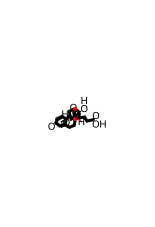 C[C@]12C=CC(=O)C3=C1CCC1[C@@H]2CC[C@](O)(C(=O)O3)[C@H]1CCC(=O)O